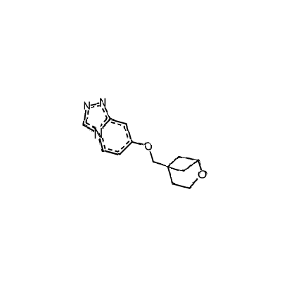 c1cn2cnnc2cc1OCC12CCOC(C1)C2